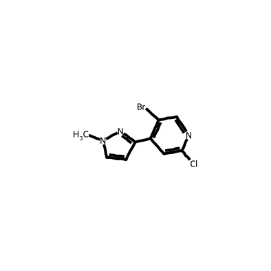 Cn1ccc(-c2cc(Cl)ncc2Br)n1